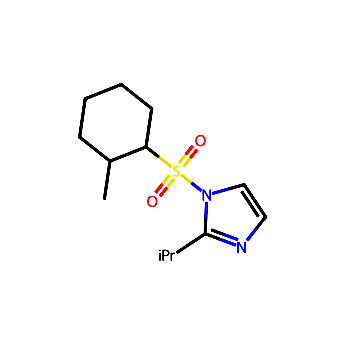 CC(C)c1nccn1S(=O)(=O)C1CCCCC1C